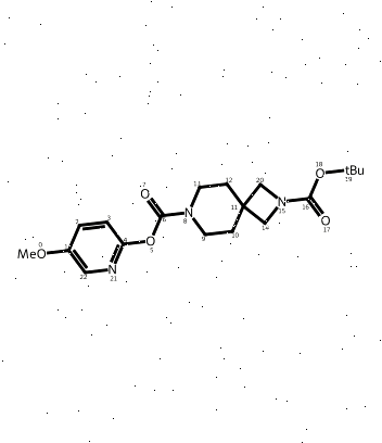 COc1ccc(OC(=O)N2CCC3(CC2)CN(C(=O)OC(C)(C)C)C3)nc1